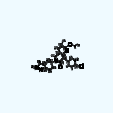 CCOc1nc2c(-c3ccc(Cl)cc3)c(=O)n(-c3ccc4nn(C)cc4c3)cc2cc1C